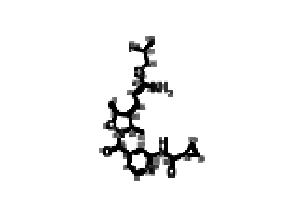 C=C1ON(C(=O)c2ccnc(NC(=O)C3CC3)c2)C(C)/C1=C/C=C(\N)OCC(C)F